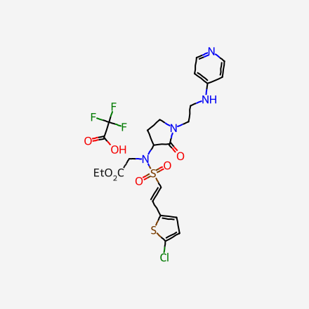 CCOC(=O)CN(C1CCN(CCNc2ccncc2)C1=O)S(=O)(=O)C=Cc1ccc(Cl)s1.O=C(O)C(F)(F)F